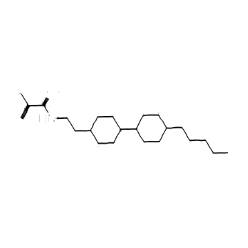 C=C(C)C(=O)NCCC1CCC(C2CCC(CCCCC)CC2)CC1